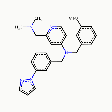 COc1cccc(CN(Cc2cccc(-n3cccn3)c2)c2ccnc(CN(C)C)c2)c1